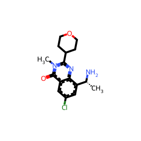 C[C@@H](N)c1cc(Cl)cc2c(=O)n(C)c(C3CCOCC3)nc12